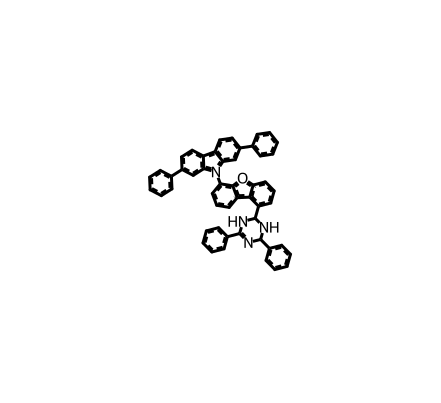 c1ccc(C2=NC(c3ccccc3)NC(c3cccc4oc5c(-n6c7cc(-c8ccccc8)ccc7c7ccc(-c8ccccc8)cc76)cccc5c34)N2)cc1